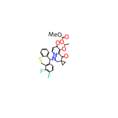 COC(=O)OC(C)Oc1c2n(ccc1=O)N([C@@H]1c3ccccc3SCc3c1ccc(F)c3F)CC1(CC1)C2=O